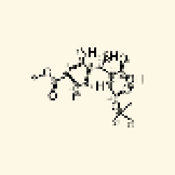 COC(=O)c1cc(N)c(C(S)[C@H](NC(=O)OC(C)(C)C)C(=O)O)cc1Cl